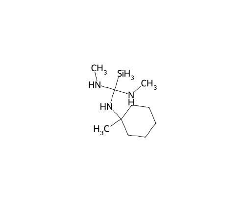 CNC([SiH3])(NC)NC1(C)CCCCC1